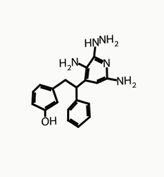 NNc1nc(N)cc(C(Cc2cccc(O)c2)c2ccccc2)c1N